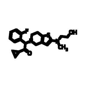 CN(CCO)c1cc2c(s1)CCN(C(C(=O)C1CC1)c1ccccc1F)C2